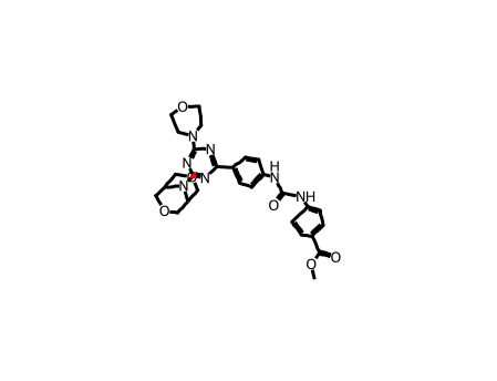 COC(=O)c1ccc(NC(=O)Nc2ccc(-c3nc(N4CCOCC4)nc(N4C5COCC4COC5)n3)cc2)cc1